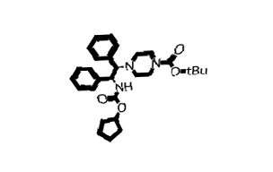 CC(C)(C)OC(=O)N1CCN([C@@H](c2ccccc2)[C@H](NC(=O)OC2CCCC2)c2ccccc2)CC1